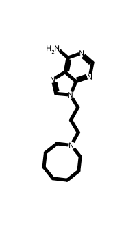 Nc1ncnc2c1ncn2CCCN1CCCCCCC1